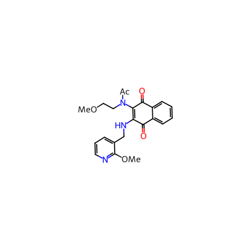 COCCN(C(C)=O)C1=C(NCc2cccnc2OC)C(=O)c2ccccc2C1=O